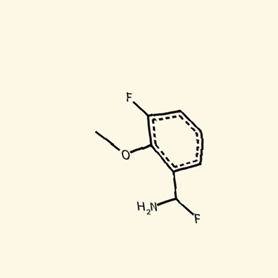 COc1c(F)cccc1C(N)F